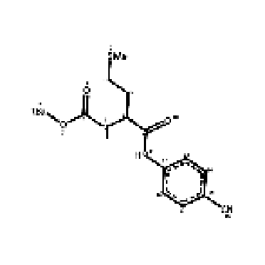 CSCC[C@H](NC(=O)OC(C)(C)C)C(=O)Nc1ccc(C#N)cc1